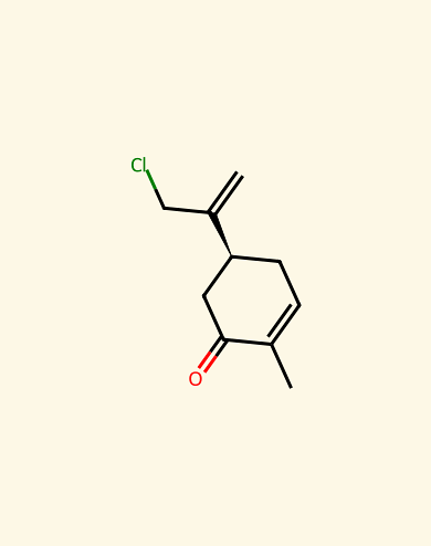 C=C(CCl)[C@H]1CC=C(C)C(=O)C1